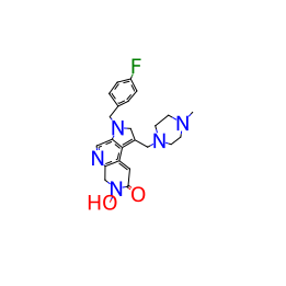 CN1CCN(CC2=c3c(cnc4c3=CC(=O)N(O)C4)N(Cc3ccc(F)cc3)C2)CC1